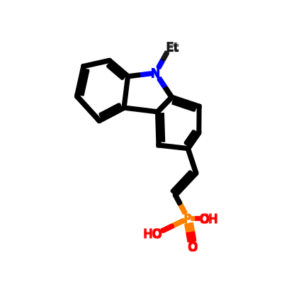 CCn1c2ccccc2c2cc(C=CP(=O)(O)O)ccc21